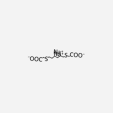 O=C([O-])CSCCCCCCSCC(=O)[O-].[Na+].[Na+]